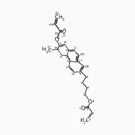 C=CC(=O)OCCCCc1ccc2c3c(ccc2c1)C=C(OC(=O)C=C)C(C)C3